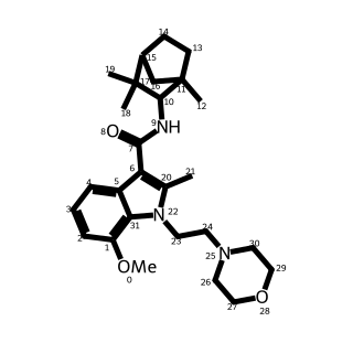 COc1cccc2c(C(=O)NC3C4(C)CCC(C4)C3(C)C)c(C)n(CCN3CCOCC3)c12